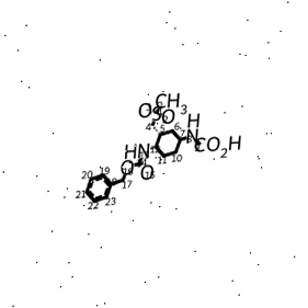 CS(=O)(=O)C[C@@H]1CC(NC(=O)O)CC[C@@H]1NC(=O)OCc1ccccc1